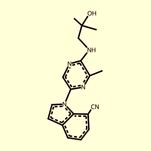 Cc1nc(-n2ccc3cccc(C#N)c32)cnc1NCC(C)(C)O